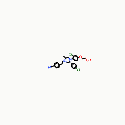 CC1CN(c2ccc(OCCO)cc2Cl)[C@H](c2ccc(Cl)cc2)CN1CCc1ccc(C#N)cc1